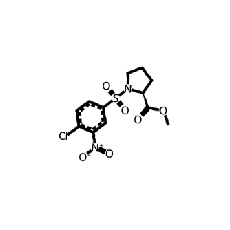 COC(=O)[C@@H]1CCCN1S(=O)(=O)c1ccc(Cl)c([N+](=O)[O-])c1